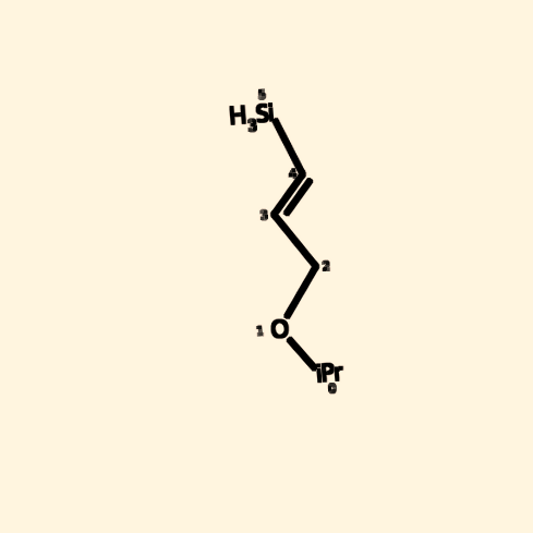 CC(C)OCC=C[SiH3]